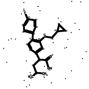 CC(C)CC(C(=O)O)c1ccc(-c2ccc(F)cc2)c(OCC2CC2)c1